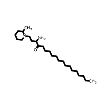 CCCCCCCCCCCCCCCC(=O)C(N)CCN1CCCCC1C